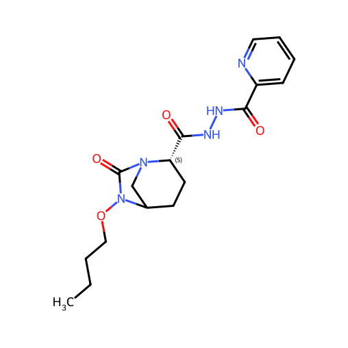 CCCCON1C(=O)N2CC1CC[C@H]2C(=O)NNC(=O)c1ccccn1